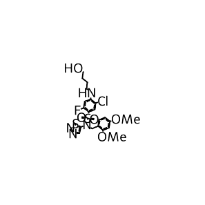 COc1ccc(CN(c2cnns2)S(=O)(=O)c2cc(Cl)c(NCCCCO)cc2F)c(OC)c1